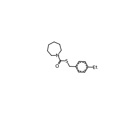 CCc1ccc(CSC(=O)N2CCCCCC2)cc1